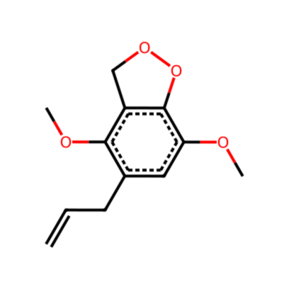 C=CCc1cc(OC)c2c(c1OC)COO2